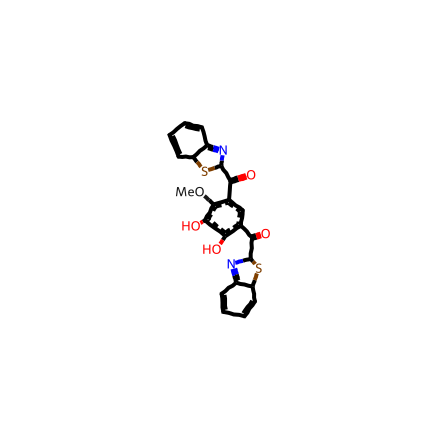 COc1c(C(=O)C2N=C3C=CC=CC3S2)cc(C(=O)C2N=C3C=CC=CC3S2)c(O)c1O